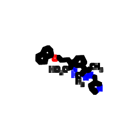 Cc1nn(Cc2cccnc2)c(C)c1-c1cccc2c(CCCOc3cccc4ccccc34)c(C(=O)O)[nH]c12